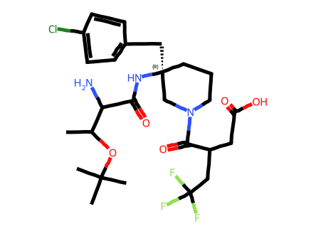 CC(OC(C)(C)C)C(N)C(=O)N[C@@]1(Cc2ccc(Cl)cc2)CCCN(C(=O)C(CC(=O)O)CC(F)(F)F)C1